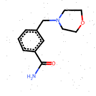 NC(=O)c1cccc(CN2CCOCC2)c1